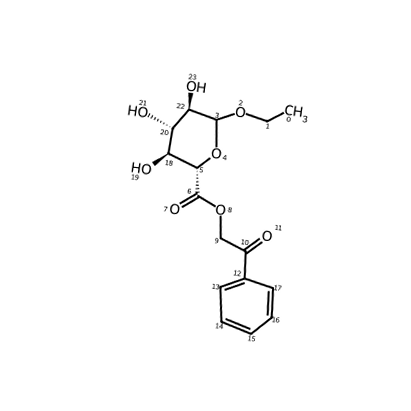 CCOC1O[C@H](C(=O)OCC(=O)c2ccccc2)[C@@H](O)[C@H](O)[C@H]1O